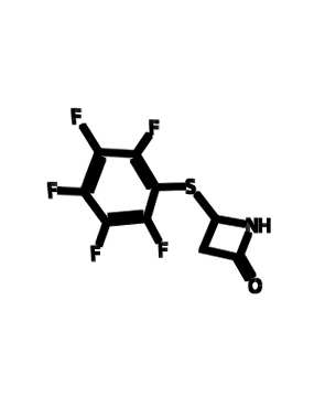 O=C1CC(Sc2c(F)c(F)c(F)c(F)c2F)N1